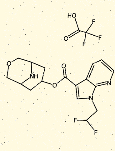 O=C(O)C(F)(F)F.O=C(OC1CC2COCC(C1)N2)c1cn(CC(F)F)c2ncccc12